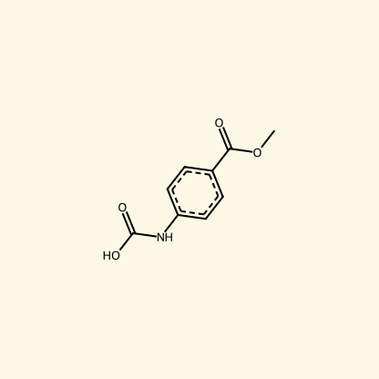 COC(=O)c1ccc(NC(=O)O)cc1